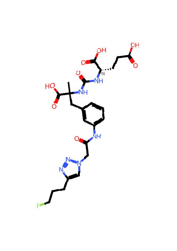 CC(Cc1cccc(NC(=O)Cn2cc(CCCF)nn2)c1)(NC(=O)N[C@@H](CCC(=O)O)C(=O)O)C(=O)O